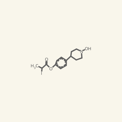 CC(I)C(=O)Oc1ccc(C2CCN(O)CC2)cc1